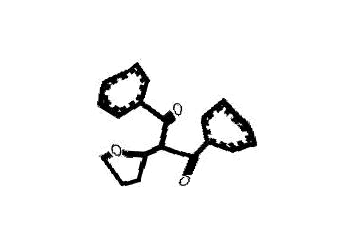 O=C(c1ccccc1)C(C(=O)c1ccccc1)C1CCCO1